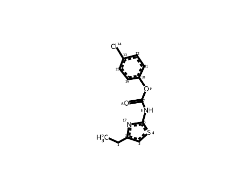 CCc1csc(NC(=O)Oc2ccc(Cl)cc2)n1